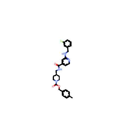 Cc1ccc(COC(=O)N2CCC(CNC(=O)c3ccnc(NCc4cccc(F)c4)c3)CC2)cc1